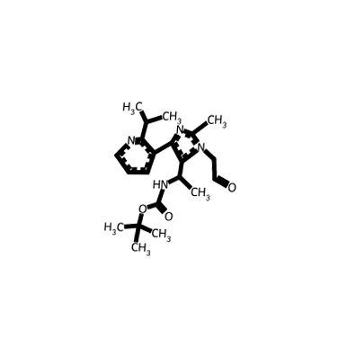 Cc1nc(-c2cccnc2C(C)C)c(C(C)NC(=O)OC(C)(C)C)n1CC=O